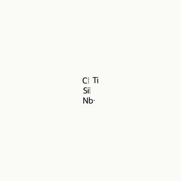 [C].[Nb].[Si].[Ti]